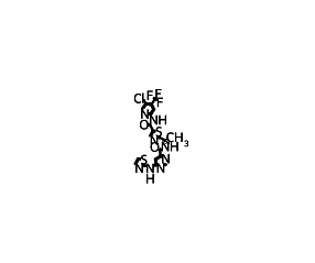 C[C@H](NC(=O)c1cc(Nc2nccs2)ncn1)c1ncc(C(=O)Nc2cc(C(F)(F)F)c(Cl)cn2)s1